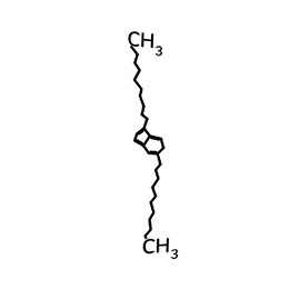 CCCCCCCCCCCC1=CC2=CC=C(CCCCCCCCCCC)C2=CC1